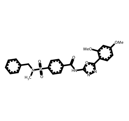 COc1ccc(-c2nnc(NC(=O)c3ccc(S(=O)(=O)N(C)Cc4ccccc4)cc3)o2)c(OC)c1